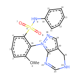 COc1cccc(S(=O)(=O)Nc2ccccc2)c1-n1ncc2c1N=CNC2